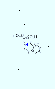 CCCCCCCCC(CN1CCc2ccccc2C1)S(=O)(=O)O